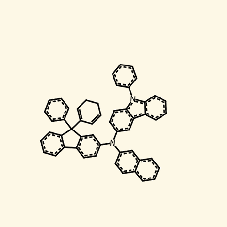 C1=CC(C2(c3ccccc3)c3ccccc3-c3ccc(N(c4ccc5ccccc5c4)c4ccc5c(c4)c4ccccc4n5-c4ccccc4)cc32)=CCC1